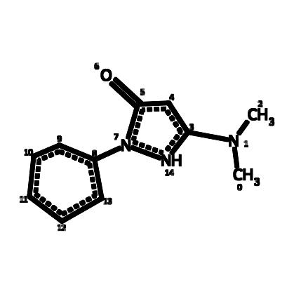 CN(C)c1cc(=O)n(-c2ccccc2)[nH]1